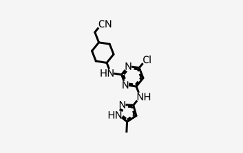 Cc1cc(Nc2cc(Cl)nc(NC3CCC(CC#N)CC3)n2)n[nH]1